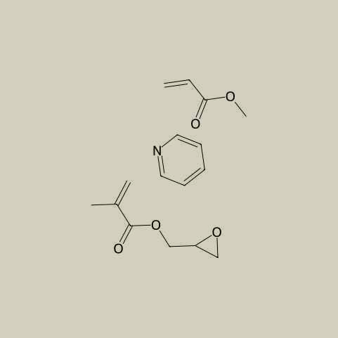 C=C(C)C(=O)OCC1CO1.C=CC(=O)OC.c1ccncc1